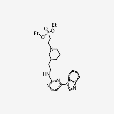 CCOP(=O)(CCN1CCCC(CCNc2nccc(-n3cnc4ccccc43)n2)C1)OCC